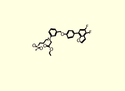 CCOC(=O)CN(CCCS(C)(=O)=O)c1cccc(COc2ccc(-c3cc(F)c(F)c4ccoc34)cc2)c1